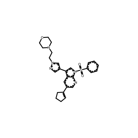 O=S(=O)(c1ccccc1)n1cc(-c2cnn(CCN3CCOCC3)c2)c2cc(C3=CCCC3)cnc21